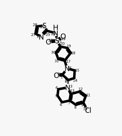 O=C1[C@@H](N2CCCc3cc(Cl)ccc32)CCN1c1ccc(S(=O)(=O)Nc2nccs2)cc1